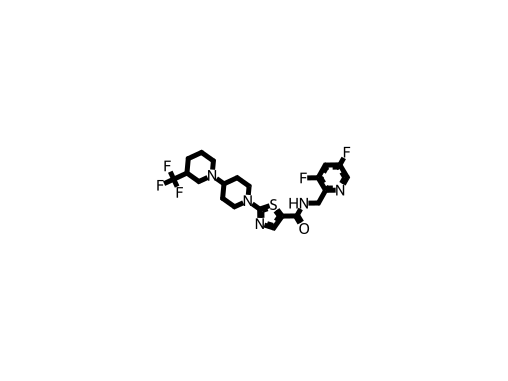 O=C(NCc1ncc(F)cc1F)c1cnc(N2CCC(N3CCCC(C(F)(F)F)C3)CC2)s1